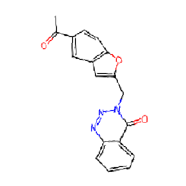 CC(=O)c1ccc2oc(Cn3nnc4ccccc4c3=O)cc2c1